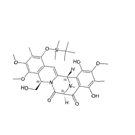 COc1c(C)c(O)c2c(c1O)[C@H]1C3=Cc4c(O[Si](C)(C)C(C)(C)C)c(C)c(OC)c(OC)c4[C@H](CO)N3C(=O)[C@H](C2=O)N1C